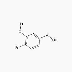 CCOc1cc([CH]O)ccc1C(C)C